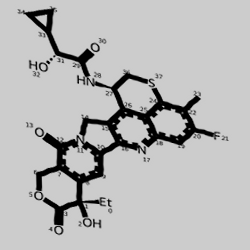 CC[C@@]1(O)C(=O)OCc2c1cc1n(c2=O)Cc2c-1nc1cc(F)c(C)c3c1c2[C@@H](NC(=O)[C@H](O)C1CC1)CS3